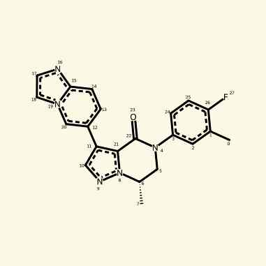 Cc1cc(N2C[C@H](C)n3ncc(-c4ccc5nccn5c4)c3C2=O)ccc1F